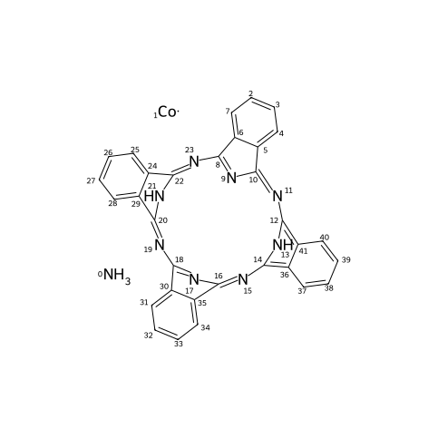 N.[Co].c1ccc2c(c1)-c1nc-2nc2[nH]c(nc3nc(nc4[nH]c(n1)c1ccccc41)-c1ccccc1-3)c1ccccc21